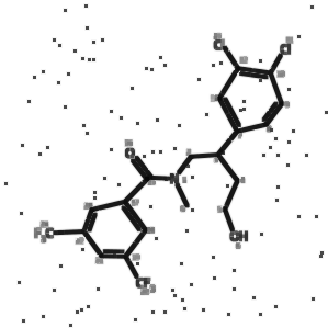 CN(CC(CCO)c1ccc(Cl)c(Cl)c1)C(=O)c1cc(C(F)(F)F)cc(C(F)(F)F)c1